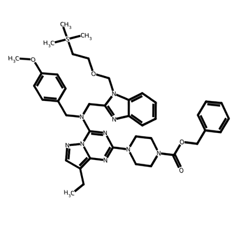 CCc1cnn2c(N(Cc3ccc(OC)cc3)Cc3nc4ccccc4n3COCCS(C)(C)C)nc(N3CCN(C(=O)OCc4ccccc4)CC3)nc12